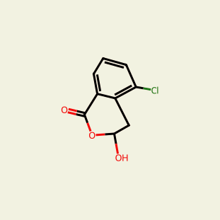 O=C1OC(O)Cc2c(Cl)cccc21